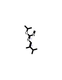 C=N/C(=N\C=C(/C)C(C)C)OC(C)C